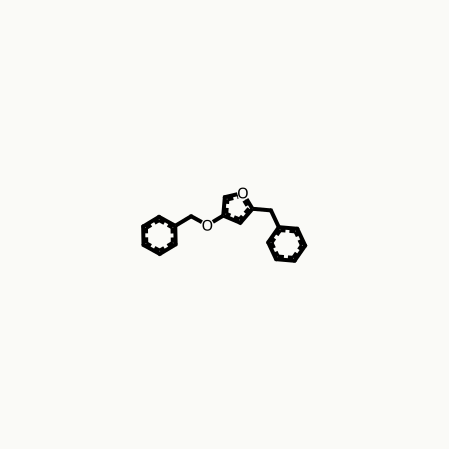 c1ccc(COc2coc(Cc3ccccc3)c2)cc1